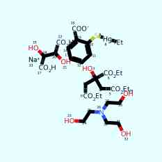 CCOC(=O)CC(O)(CC(=O)OCC)C(=O)OCC.C[CH2][Hg][S]c1ccccc1C(=O)[O-].O=C(O)C(O)C(O)C(=O)O.OCCN(CCO)CCO.[Na+]